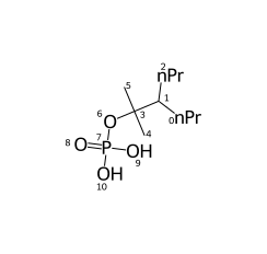 CCCC(CCC)C(C)(C)OP(=O)(O)O